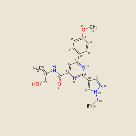 C=C(CO)NC(=O)c1cc(-c2ccc(OC(F)(F)F)cc2)nc(-c2cnn(CC(C)C)c2)n1